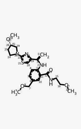 C=C(Nc1ccc(COC)cc1C(=O)NCCOC)c1csc(N2CC[C@H](OC)C2)n1